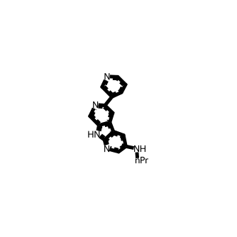 CCCNc1cnc2[nH]c3cnc(-c4cccnc4)cc3c2c1